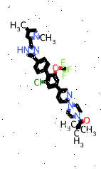 CC1CC(c2nc(-c3ccc(-c4c(Cl)cc(-c5ccc(N6CCN(C(=O)C(C)(C)C)CC6)nc5)cc4OC(F)(F)F)cc3)c[nH]2)N(C)C1